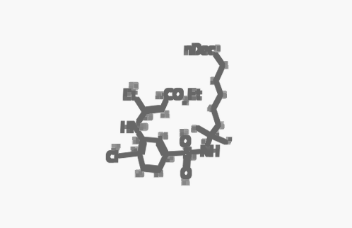 CCCCCCCCCCCCCCCC(C)(C)NS(=O)(=O)c1ccc(Cl)c(NC(=CC(=O)OCC)CC)c1